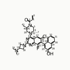 C=CC(=O)N1C[C@H](C)N(c2nc(N3CC(N(C)C)C3)nc3c(F)c(-c4cc(O)cc5ccccc45)c(Cl)cc23)C[C@H]1C